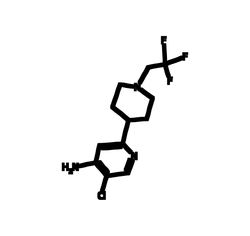 Nc1cc(C2CCN(CC(F)(F)F)CC2)ncc1Cl